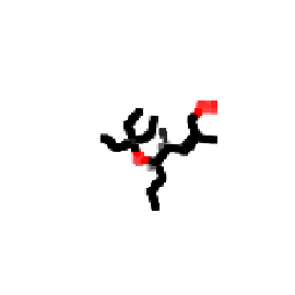 CCC[C@@H](O[Si](CC)(CC)CC)[C@H](C)C=C(C)CO